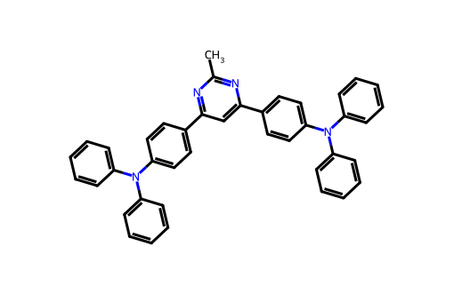 Cc1nc(-c2ccc(N(c3ccccc3)c3ccccc3)cc2)cc(-c2ccc(N(c3ccccc3)c3ccccc3)cc2)n1